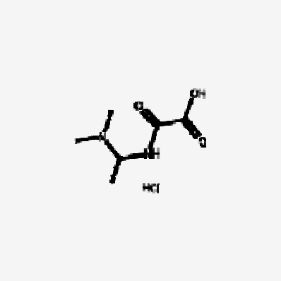 CC(NC(=O)C(=O)O)N(C)C.Cl